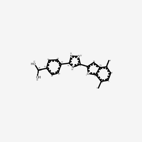 Cc1ccc(C)c2oc(-c3nc(-c4ccc(C(O)O)cc4)no3)cc12